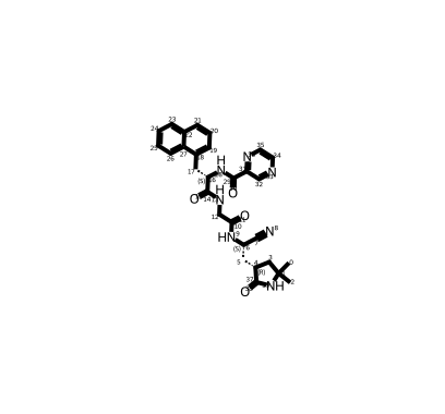 CC1(C)C[C@@H](C[C@@H](C#N)NC(=O)CNC(=O)[C@H](Cc2cccc3ccccc23)NC(=O)c2cnccn2)C(=O)N1